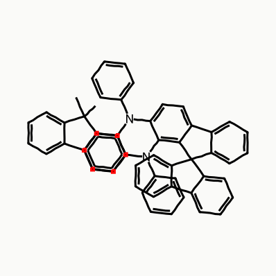 CC1(C)c2ccccc2-c2cccc(N(c3ccccc3)c3ccc4c(c3N(c3ccccc3)c3ccccc3)C3(c5ccccc5-c5ccccc53)c3ccccc3-4)c21